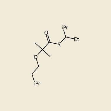 CCC(SC(=O)C(C)(C)OCCC(C)C)C(C)C